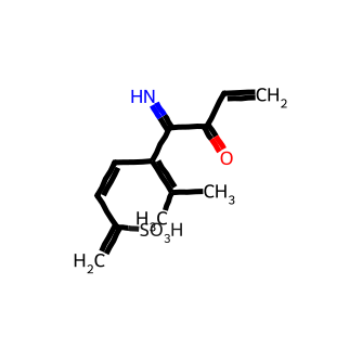 C=CC(=O)C(=N)C(/C=C\C(=C)S(=O)(=O)O)=C(C)C